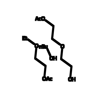 CC(=O)OCCOCCO.CCCCO.CCOCCOC(C)=O